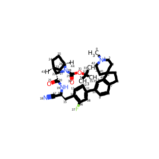 CN1CCC2(CCc3ccc(-c4ccc(C[C@@H](C#N)NC(=O)[C@@H]5[C@H]6CC[C@H](C6)N5C(=O)OC(C)(C)C)c(F)c4)cc32)CC1